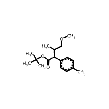 COCC(C)C(C(=O)OC(C)(C)C)c1ccc(C)cc1